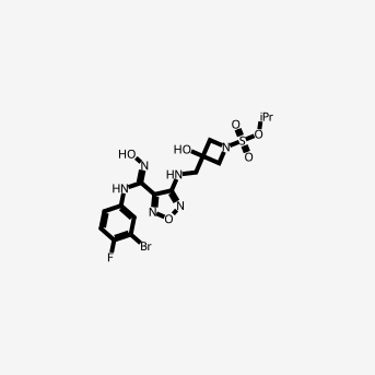 CC(C)OS(=O)(=O)N1CC(O)(CNc2nonc2/C(=N/O)Nc2ccc(F)c(Br)c2)C1